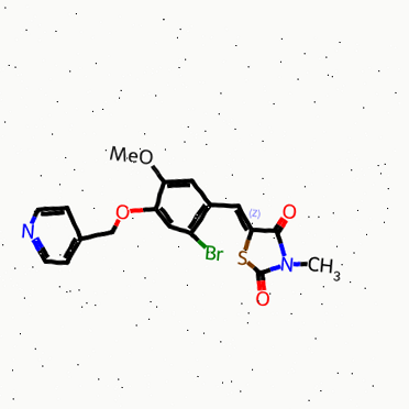 COc1cc(/C=C2\SC(=O)N(C)C2=O)c(Br)cc1OCc1ccncc1